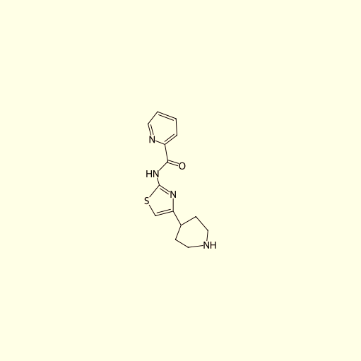 O=C(Nc1nc(C2CCNCC2)cs1)c1ccccn1